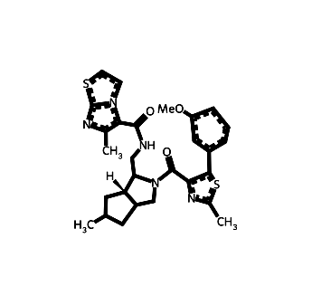 COc1cccc(-c2sc(C)nc2C(=O)N2CC3CC(C)C[C@@H]3C2CNC(=O)c2c(C)nc3sccn23)c1